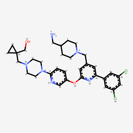 NCC1CCN(Cc2cc(Oc3ccc(N4CCN(CC5(CO)CC5)CC4)nc3)nc(-c3cc(Cl)cc(Cl)c3)c2)CC1